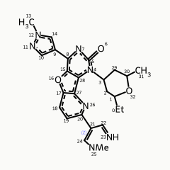 CCC1CC(n2c(=O)nc(-c3cnn(C)c3)c3oc4ccc(/C(C=N)=C/NC)nc4c32)CC(C)O1